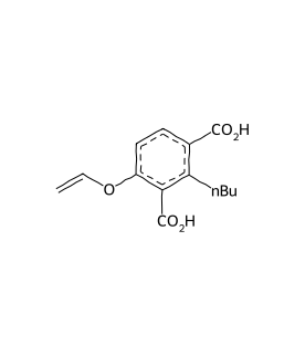 C=COc1ccc(C(=O)O)c(CCCC)c1C(=O)O